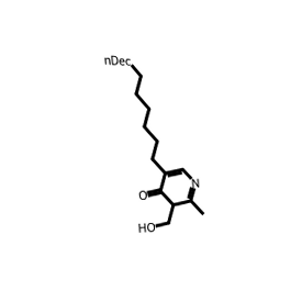 CCCCCCCCCCCCCCCCC1=CN=C(C)C(CO)C1=O